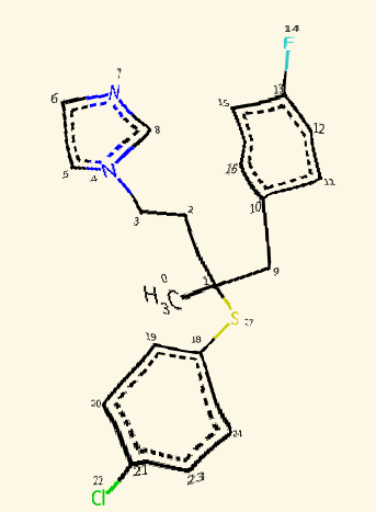 CC(CCn1ccnc1)(Cc1ccc(F)cc1)Sc1ccc(Cl)cc1